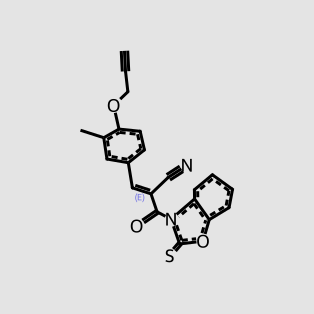 C#CCOc1ccc(/C=C(\C#N)C(=O)n2c(=S)oc3ccccc32)cc1C